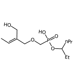 CC=C(CO)COCP(=O)(O)OC(CC)CCC